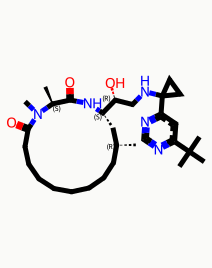 C[C@@H]1CCCCCCCCC(=O)N(C)[C@@H](C)C(=O)N[C@H]([C@H](O)CNC2(c3cc(C(C)(C)C)ncn3)CC2)C1